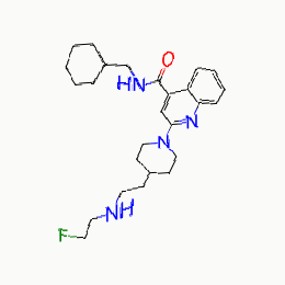 O=C(NCC1CCCCC1)c1cc(N2CCC(CCNCCF)CC2)nc2ccccc12